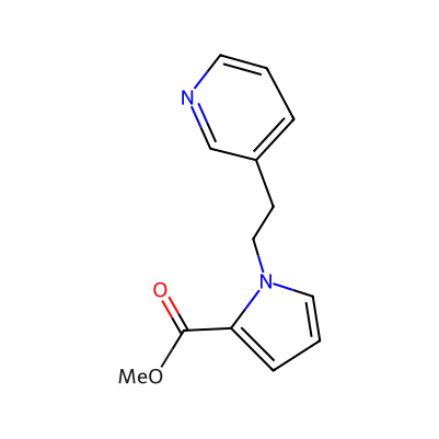 COC(=O)c1cccn1CCc1cccnc1